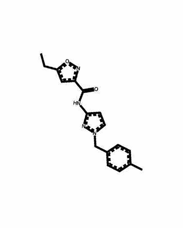 CCc1cc(C(=O)Nc2ccn(Cc3ccc(C)cc3)n2)no1